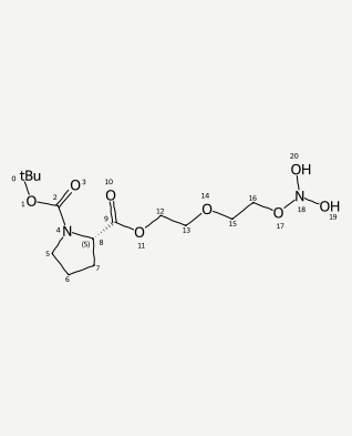 CC(C)(C)OC(=O)N1CCC[C@H]1C(=O)OCCOCCON(O)O